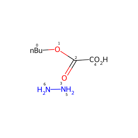 CCCCOC(=O)C(=O)O.NN